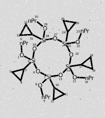 CCCO[Si]1(C2CC2)O[Si](OCCC)(C2CC2)O[Si](OCCC)(C2CC2)O[Si](OCCC)(C2CC2)O[Si](OCCC)(C2CC2)O1